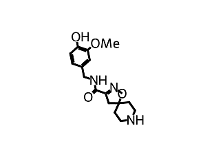 COc1cc(CNC(=O)C2=NOC3(CCNCC3)C2)ccc1O